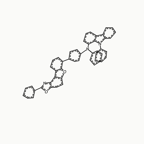 c1ccc(-c2nc3c(ccc4oc5c(-c6ccc(N(c7ccccc7)c7cccc8c9ccccc9n(-c9ccccc9)c78)cc6)cccc5c43)o2)cc1